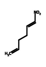 C=CCCC=C[N+](=O)[O-]